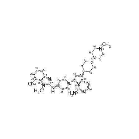 CN1CCN(C2CCC(n3cc(-c4ccc(Nc5nc6cccc(Cl)c6n5C)cc4)c4c(N)ncnc43)CC2)CC1